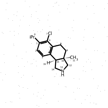 CC(C)c1ccc2c(c1Cl)CC[C@@]1(C)CNC[C@@H]21